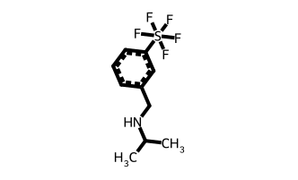 CC(C)NCc1cccc(S(F)(F)(F)(F)F)c1